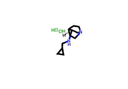 C1CC1CN[C@@H]1CN2CCC1CC2.Cl.Cl